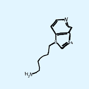 NCCCCn1cnc2cnccc21